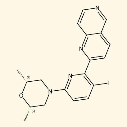 C[C@@H]1CN(c2ccc(I)c(-c3ccc4cnccc4n3)n2)C[C@H](C)O1